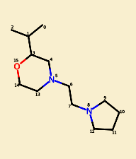 CC(C)C1CN(CCN2CCCC2)CCO1